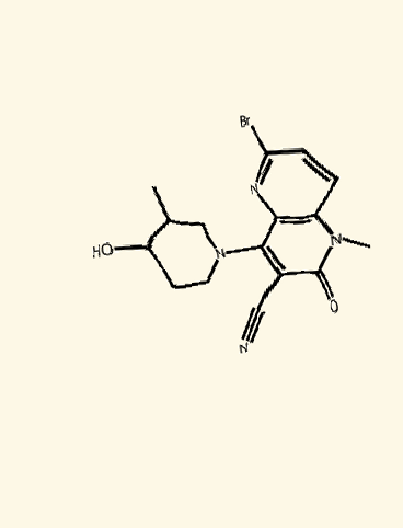 CC1CN(c2c(C#N)c(=O)n(C)c3ccc(Br)nc23)CCC1O